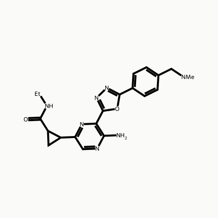 CCNC(=O)C1CC1c1cnc(N)c(-c2nnc(-c3ccc(CNC)cc3)o2)n1